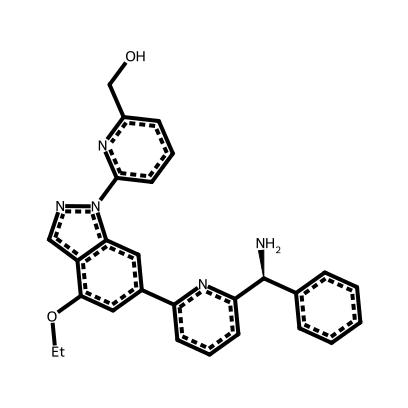 CCOc1cc(-c2cccc([C@@H](N)c3ccccc3)n2)cc2c1cnn2-c1cccc(CO)n1